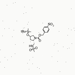 CC(C)(C)[Si](C)(C)O[C@@H]1C[C@@H](CNS(C)(=O)=O)N(C(=O)OCc2ccc([N+](=O)[O-])cc2)C1